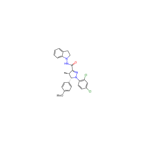 COc1ccc([C@@H]2[C@@H](C)C(C(=O)NN3CCc4ccccc43)=NN2c2ccc(Cl)cc2Cl)cc1